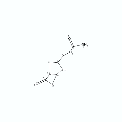 NC(=O)OCC1CN2C(=O)CC2S1